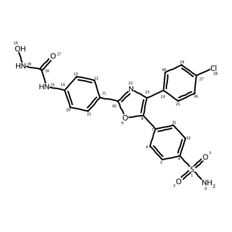 NS(=O)(=O)c1ccc(-c2oc(-c3ccc(NC(=O)NO)cc3)nc2-c2ccc(Cl)cc2)cc1